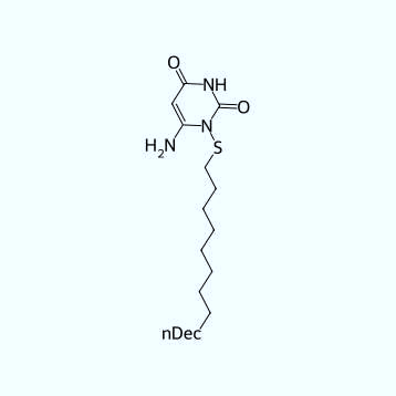 CCCCCCCCCCCCCCCCCCSn1c(N)cc(=O)[nH]c1=O